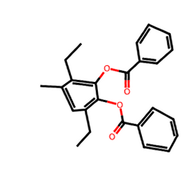 CCc1cc(C)c(CC)c(OC(=O)c2ccccc2)c1OC(=O)c1ccccc1